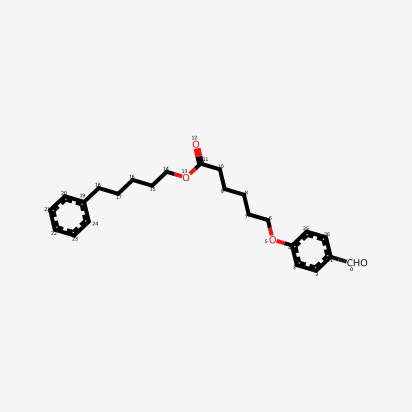 O=Cc1ccc(OCCCCCC(=O)OCCCCCc2ccccc2)cc1